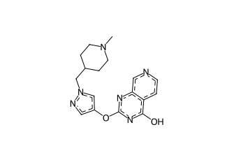 CN1CCC(Cn2cc(Oc3nc(O)c4ccncc4n3)cn2)CC1